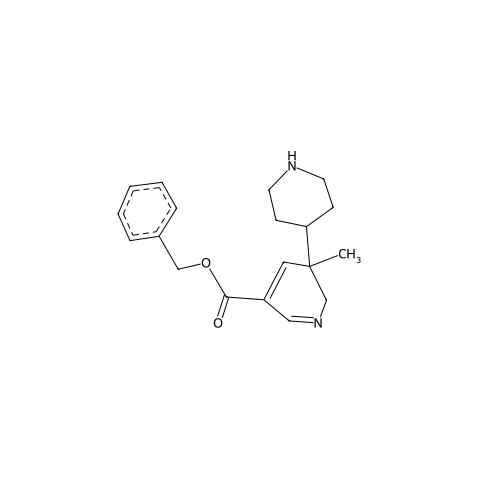 CC1(C2CCNCC2)C=C(C(=O)OCc2ccccc2)C=NC1